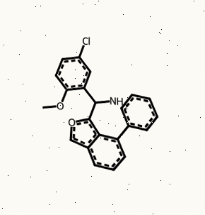 COc1ccc(Cl)cc1C(N)c1occ2cccc(-c3ccccc3)c12